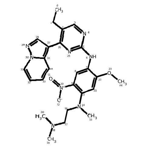 CCc1cnc(Nc2cc([N+](=O)[O-])c(N(C)CCN(C)C)cc2OC)nc1-c1cnn2ccccc12